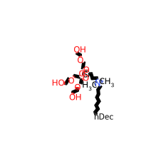 CCCCCCCCCCCCCCCCCC[N+](C)(C)CCC[Si](OCCOCCO)(OCCOCCO)OCCOCCO